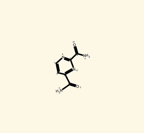 NC(=O)c1[c]cnc(C(N)=O)n1